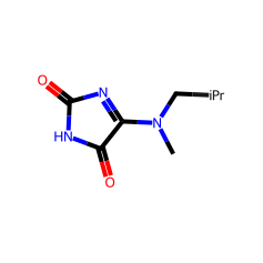 CC(C)CN(C)C1=NC(=O)NC1=O